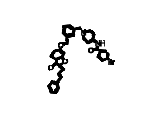 O=C(NC1CCN(Cc2cccc(COc3ccc4c(c3)OC(=CC=Cc3ccccc3)C4=O)c2)CC1)c1ccc(Br)cc1